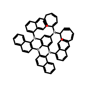 C1#CC(N(C2=CC=CCC#C2)c2cc3c4c(c2)N(c2cccc5ccccc25)c2c(ccc5ccccc25)B4c2ccc4ccccc4c2N3c2cccc3ccccc23)C=CC=C1